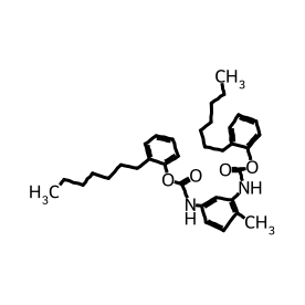 CCCCCCCc1ccccc1OC(=O)Nc1ccc(C)c(NC(=O)Oc2ccccc2CCCCCCC)c1